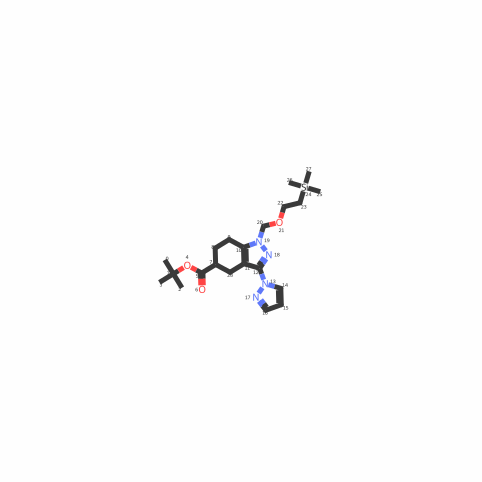 CC(C)(C)OC(=O)C1CCc2c(c(-n3cccn3)nn2COCC[Si](C)(C)C)C1